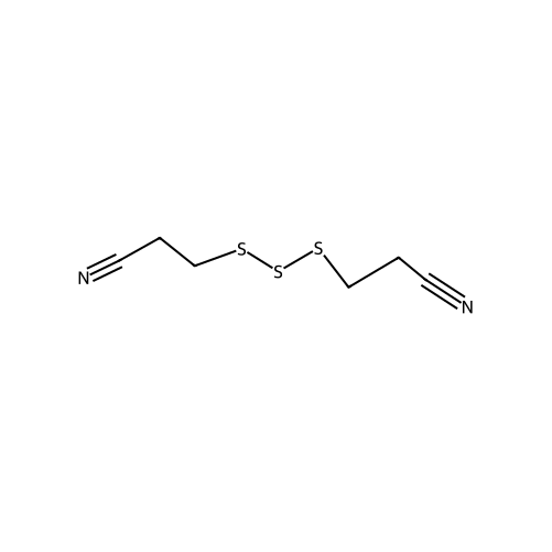 N#CCCSSSCCC#N